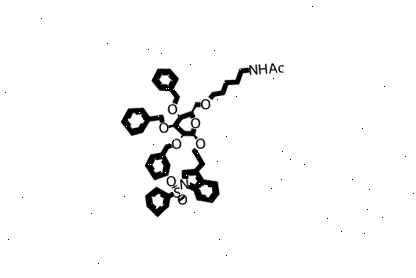 CC(=O)NCCCCCOC[C@H]1O[C@@H](OCCc2cn(S(=O)(=O)c3ccccc3)c3ccccc23)[C@H](OCc2ccccc2)[C@@H](OCc2ccccc2)[C@@H]1OCc1ccccc1